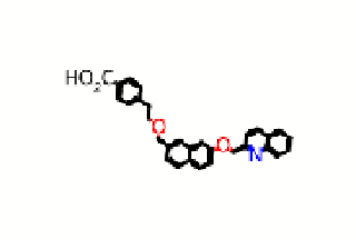 O=C(O)c1ccc(CCOCc2ccc3ccc(OCc4ccc5ccccc5n4)cc3c2)cc1